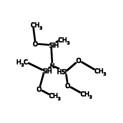 CO[SiH](C)N([SiH](C)OC)[SiH](OC)OC